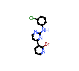 Clc1cccc(Nc2nccc(-c3cccnc3Br)n2)c1